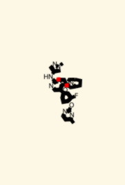 C=CC(=O)N1C2CCC1CN(c1nc(Nc3cnn(C)c3)ncc1-c1ccc(Oc3nccc(C)n3)c(F)c1)C2